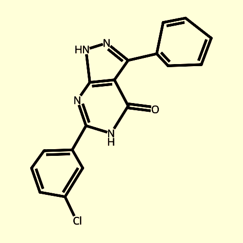 O=c1[nH]c(-c2cccc(Cl)c2)nc2[nH]nc(-c3ccccc3)c12